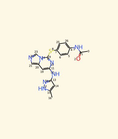 CC(=O)Nc1ccc(Sc2nc(Nc3cc(C)[nH]n3)cc3cncn23)cc1